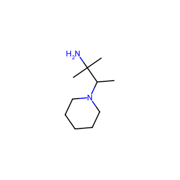 CC(N1CCCCC1)C(C)(C)N